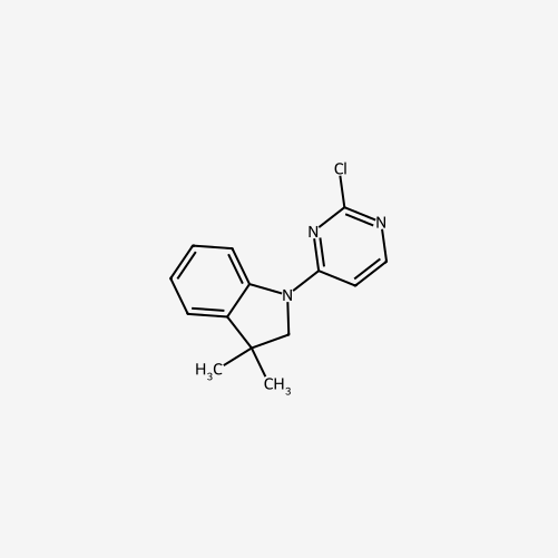 CC1(C)CN(c2ccnc(Cl)n2)c2ccccc21